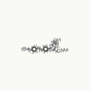 COC[C@@H](NC(=O)c1ccc(/N=N/c2ccc(SC(C)(C)C)cc2)cc1)[C@@H](C)O[P@](C)(=O)O